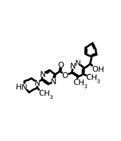 Cc1c(OC(=O)c2cnc(N3CCNCC3C)cn2)nnc(C(O)c2ccccc2)c1C